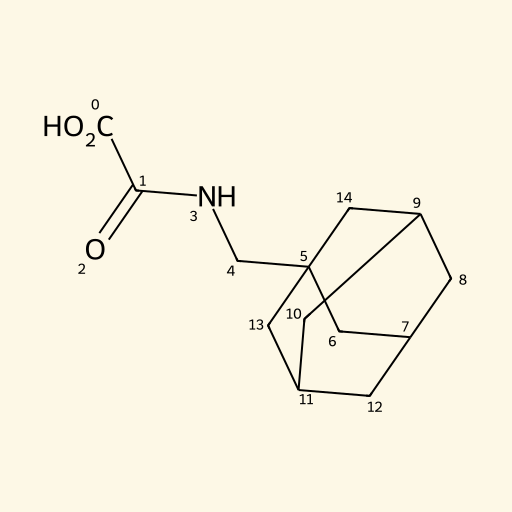 O=C(O)C(=O)NCC12CC3CC(CC(C3)C1)C2